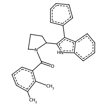 Cc1cccc(C(=O)N2CCCC2c2[nH]c3ccccc3c2-c2ccccc2)c1C